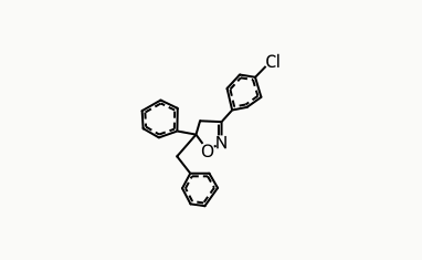 Clc1ccc(C2=NOC(Cc3ccccc3)(c3ccccc3)C2)cc1